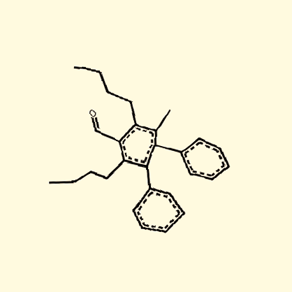 CCCCc1c(C)c(-c2ccccc2)c(-c2ccccc2)c(CCCC)c1C=O